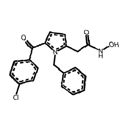 O=C(Cc1ccc(C(=O)c2ccc(Cl)cc2)n1Cc1ccccc1)NO